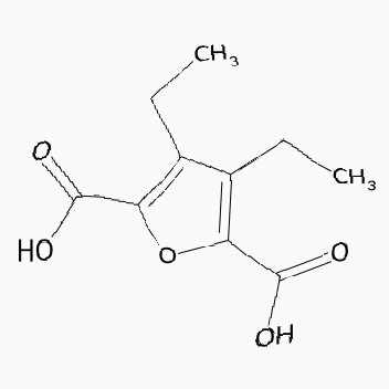 CCc1c(C(=O)O)oc(C(=O)O)c1CC